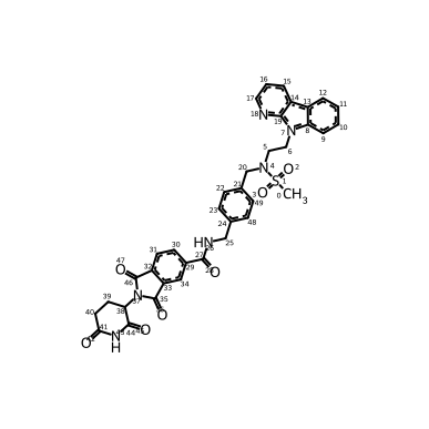 CS(=O)(=O)N(CCn1c2ccccc2c2cccnc21)Cc1ccc(CNC(=O)c2ccc3c(c2)C(=O)N(C2CCC(=O)NC2=O)C3=O)cc1